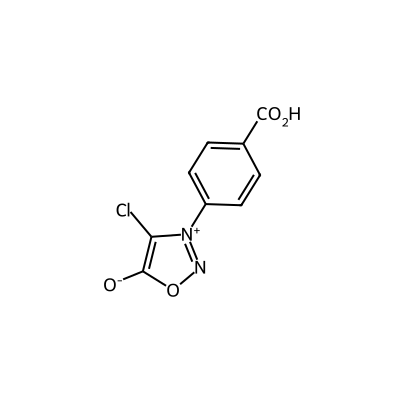 O=C(O)c1ccc(-[n+]2noc([O-])c2Cl)cc1